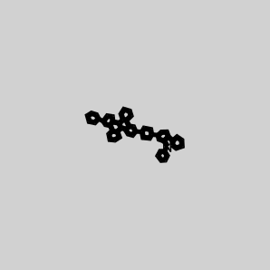 c1ccc(-c2ccc3c(c2)c2ccccc2c2c4ccc(-c5ccc(-c6ccc7c8ccccc8n(-c8ccccc8)c7c6)cc5)cc4c4ccccc4c32)cc1